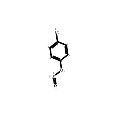 CCc1ccc(O[PH2]=O)cc1